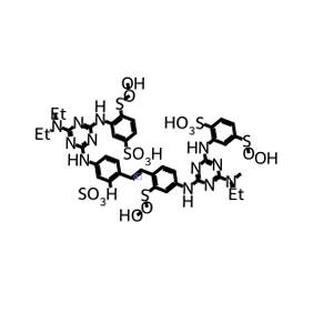 CCN(C)c1nc(Nc2ccc(/C=C/c3ccc(Nc4nc(Nc5cc(S(=O)(=O)O)ccc5SOO)nc(N(CC)CC)n4)cc3S(=O)(=O)O)c(SOO)c2)nc(Nc2cc(SOO)ccc2S(=O)(=O)O)n1